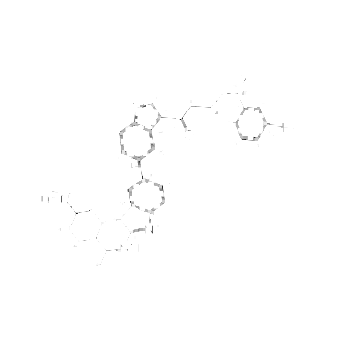 CCCC1CCC(C(C)NC2=Nc3ccc(-c4ccc5[nH]cc(C(=O)CCC[C@@H](C)c6cccc(F)c6)c5c4)cc3C2)CC1